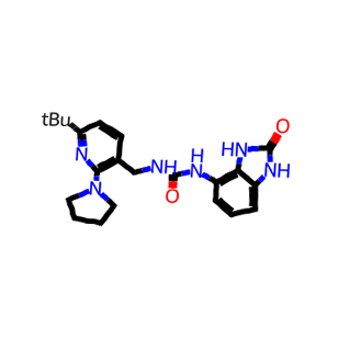 CC(C)(C)c1ccc(CNC(=O)Nc2cccc3[nH]c(=O)[nH]c23)c(N2CCCC2)n1